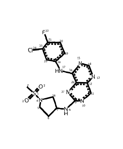 CS(=O)(=O)N1CCC(Nc2ncc3ncnc(Nc4ccc(F)c(Cl)c4)c3n2)C1